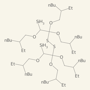 CCCCC(CC)COC([SiH3])C(OCC(CC)CCCC)(OCC(CC)CCCC)SSC(OCC(CC)CCCC)(OCC(CC)CCCC)C([SiH3])OCC(CC)CCCC